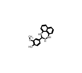 COc1cc(C2NNc3cccc4cccc(c34)N2)ccc1O